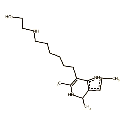 CC1=C(CCCCCCNCCO)c2[nH]c(C)cc2C(N)N1